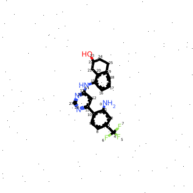 Nc1cc(C(F)(F)F)ccc1-c1cc(Nc2cccc3c2CC(O)CC3)ncn1